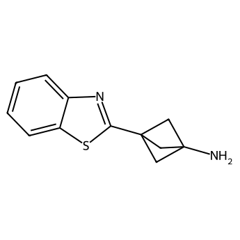 NC12CC(c3nc4ccccc4s3)(C1)C2